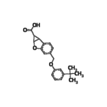 CC(C)(C)c1cccc(OCc2ccc3c(c2)OC2C(C(=O)O)C32)c1